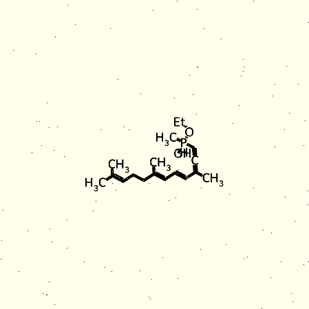 CCO[PH](C)(O)C=C=C(C)/C=C/C=C(\C)CCC=C(C)C